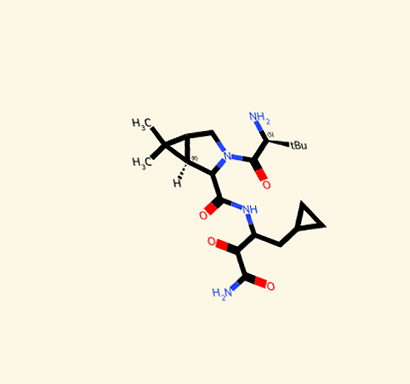 CC(C)(C)[C@H](N)C(=O)N1CC2[C@@H](C1C(=O)NC(CC1CC1)C(=O)C(N)=O)C2(C)C